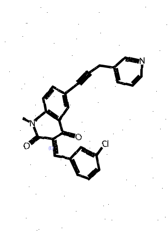 CN1C(=O)/C(=C/c2cccc(Cl)c2)C(=O)c2cc(C#CCc3cccnc3)ccc21